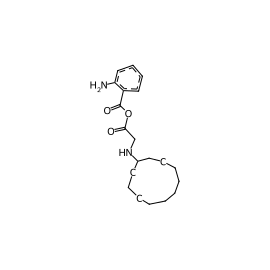 Nc1ccccc1C(=O)OC(=O)CNC1CCCCCCCCCC1